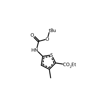 CCOC(=O)c1sc(NC(=O)OC(C)(C)C)cc1C